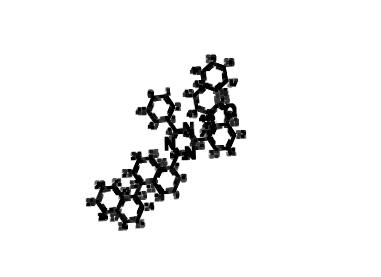 c1ccc(-c2nc(-c3cccc4c(-c5cccc6ccccc56)cccc34)nc(-c3cccc4oc5c6ccccc6ccc5c34)n2)cc1